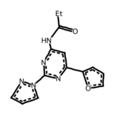 CCC(=O)Nc1cc(-c2ccco2)nc(-n2cccn2)n1